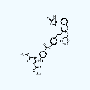 CC(C)(C)OC(=O)CN(Cc1cccc(-c2noc(=O)[nH]2)c1)C(=O)CCc1ccc(OC(=O)c2ccc(N/C(=N\C(=O)OC(C)(C)C)NC(=O)OC(C)(C)C)cc2)cc1Cl